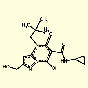 CC(C)(C)Cn1c(=O)c(C(=O)NC2CC2)c(O)n2nc(CO)cc12